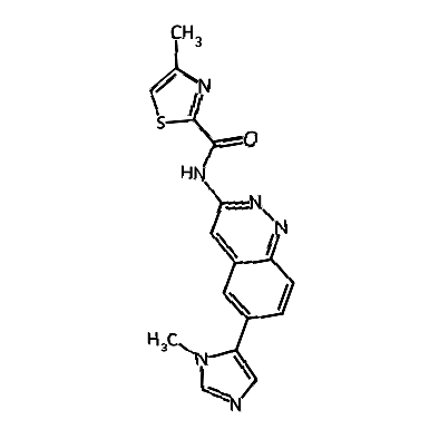 Cc1csc(C(=O)Nc2cc3cc(-c4cncn4C)ccc3nn2)n1